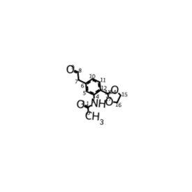 CC(=O)Nc1cc(CC=O)ccc1C1OCCO1